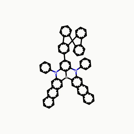 c1ccc(N2c3cc4cc5ccccc5cc4cc3B3c4cc5cc6ccccc6cc5cc4N(c4ccccc4)c4cc(-c5ccc6c(c5)C5(c7ccccc7-c7ccccc75)c5ccccc5-6)cc2c43)cc1